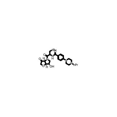 CCCN1CCN(c2ccc(C(=O)NC(CC(C)(C)C)C(=O)N3C[C@@H](O)[C@H]4OCC(=O)[C@H]43)cc2)CC1